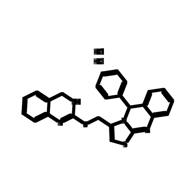 C1=C(CSC2=Nc3ccccc3CN2)N2C(=Nc3ccccc3C2c2ccccc2)S1.Cl.Cl